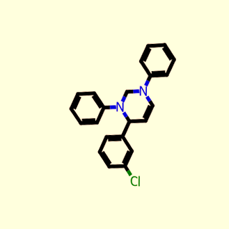 Clc1cccc(C2C=CN(c3ccccc3)CN2c2ccccc2)c1